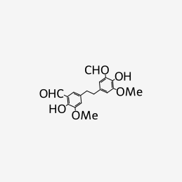 COc1cc(CCc2cc(C=O)c(O)c(OC)c2)cc(C=O)c1O